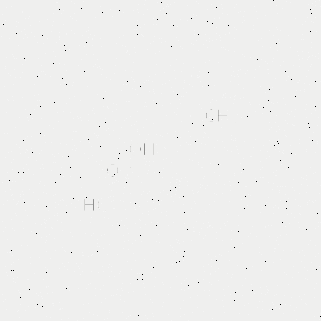 C#CCC(C=CCCCC)C(=O)O